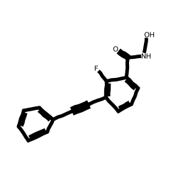 O=C(NO)c1cccc(C#Cc2ccccc2)c1F